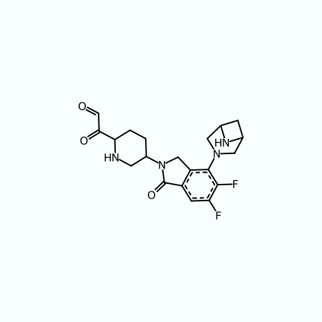 O=CC(=O)C1CCC(N2Cc3c(cc(F)c(F)c3N3CC4CC(C3)N4)C2=O)CN1